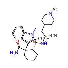 CC(=O)N1CCC(CC(C#N)NC(=O)[C@@H]2CCCC[C@@]2(C(N)=O)c2c(C(=O)O)n(C)c3ccccc23)CC1